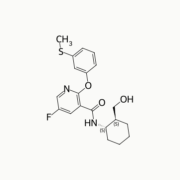 CSc1cccc(Oc2ncc(F)cc2C(=O)N[C@H]2CCCC[C@@H]2CO)c1